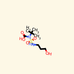 CC(C)(C)N(C(=O)O)S(=O)(=O)NCCCO